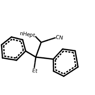 CCCCCCCC(C#N)C(CC)(c1ccccc1)c1ccccc1